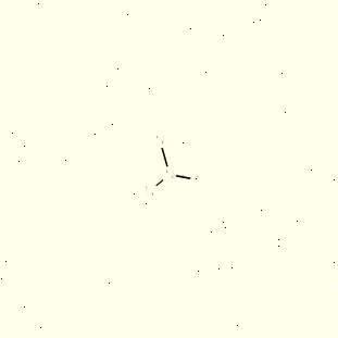 CC(=O)[N+]([N+](=O)[O-])[N+](=O)[O-]